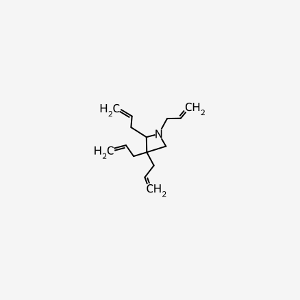 C=CCC1N(CC=C)CC1(CC=C)CC=C